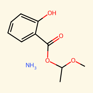 COC(C)OC(=O)c1ccccc1O.N